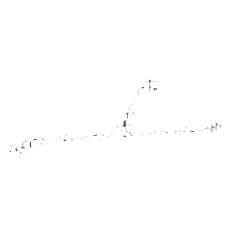 CC(C)=NNc1ccc(C(=O)NCCCCCC(=O)NCCCCCC(=O)NCCCC[C@H](NC(=O)CCC(=O)NCCCCCC(=O)ON2C(=O)CCC2=O)C(=O)NCCCOCCOCCOCCCNC(=O)CCCN=[N+]=[N-])cn1